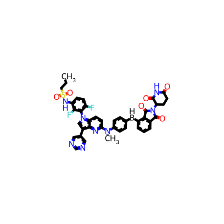 CCCS(=O)(=O)Nc1ccc(F)c(-n2cc(-c3cncnc3)c3nc(N(C)c4ccc(Bc5cccc6c5C(=O)N(C5CCC(=O)NC5=O)C6=O)cc4)ccc32)c1F